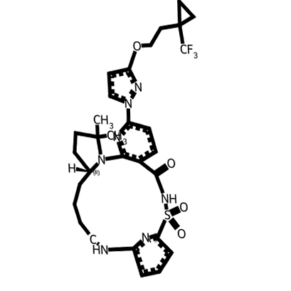 CC1(C)CC[C@H]2CCCCNc3cccc(n3)S(=O)(=O)NC(=O)c3ccc(-n4ccc(OCCC5(C(F)(F)F)CC5)n4)nc3N21